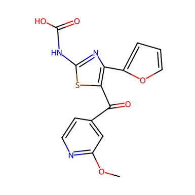 COc1cc(C(=O)c2sc(NC(=O)O)nc2-c2ccco2)ccn1